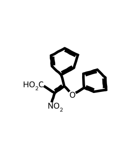 O=C(O)/C(=C(/Oc1ccccc1)c1ccccc1)[N+](=O)[O-]